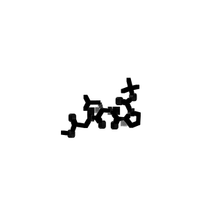 COC(=O)CNC(=O)[C@H](CC(C)C)NC(=O)[C@@H]1CCCN1C(=O)OC(C)(C)C